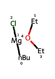 CCC[CH2][Mg][Cl].CCOCC